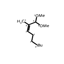 CCC(C)CCC=C(C)C(OC)OC